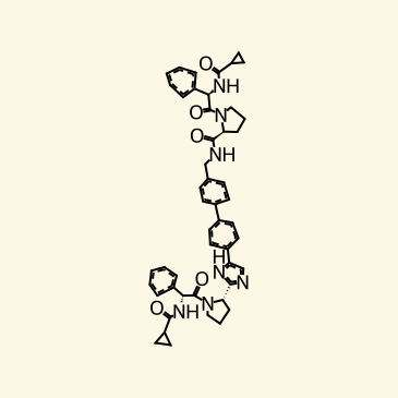 O=C(N[C@@H](C(=O)N1CCC[C@H]1C(=O)NCc1ccc(-c2ccc(-c3cnc([C@@H]4CCCN4C(=O)[C@H](NC(=O)C4CC4)c4ccccc4)[nH]3)cc2)cc1)c1ccccc1)C1CC1